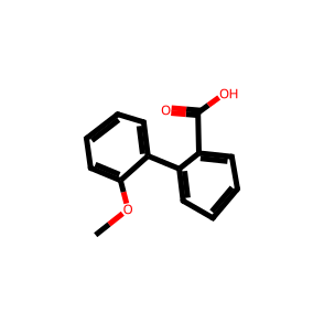 COc1ccccc1-c1ccccc1C(=O)O